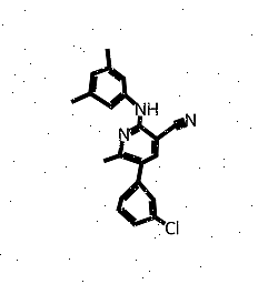 Cc1cc(C)cc(Nc2nc(C)c(-c3cccc(Cl)c3)cc2C#N)c1